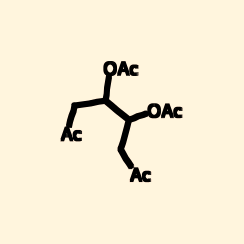 CC(=O)CC(OC(C)=O)C(CC(C)=O)OC(C)=O